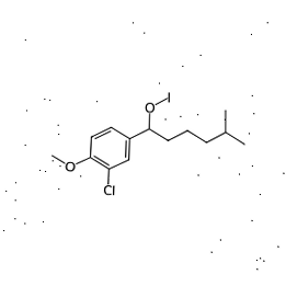 COc1ccc(C(CCCC(C)C)OI)cc1Cl